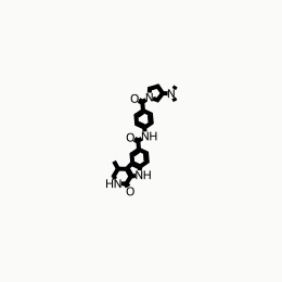 CC1CNC(=O)c2[nH]c3ccc(C(=O)Nc4ccc(C(=O)N5CCC(N(C)C)C5)cc4)cc3c21